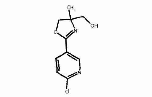 CC1(CO)COC(c2ccc(Cl)nc2)=N1